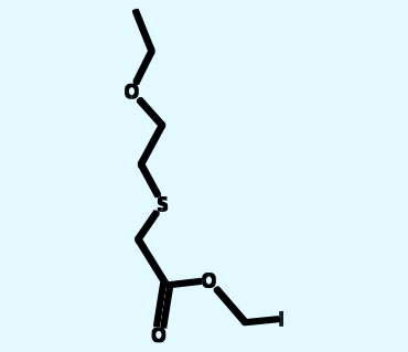 CCOCCSCC(=O)OCI